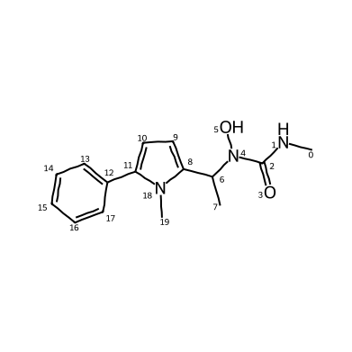 CNC(=O)N(O)C(C)c1ccc(-c2ccccc2)n1C